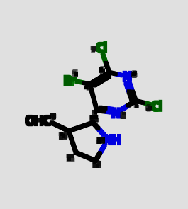 Clc1ncc(Br)c(Cl)n1.O=CC1CCNC1